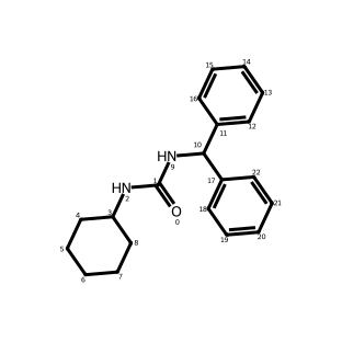 O=C(NC1CCCCC1)NC(c1ccccc1)c1ccccc1